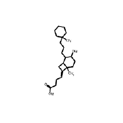 CC12CCC(O)C(CCCC3(O)CCCCC3)C1CC2=CCCC(=O)O